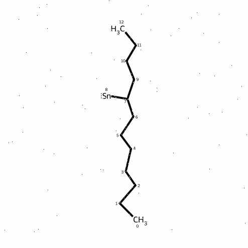 CCCCCCC[CH]([Sn])CCCC